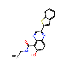 O=C(O)CNC(=O)c1c(O)ccc2nc(-c3cc4ccccc4s3)cnc12